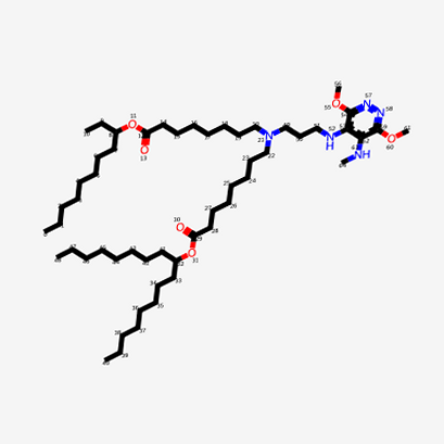 CCCCCCCCC(CC)OC(=O)CCCCCCCN(CCCCCCCC(=O)OC(CCCCCCCC)CCCCCCCC)CCCNc1c(OC)nnc(OC)c1NC